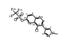 Cn1cc(-c2cnc3ccc(OS(=O)(=O)C(F)(F)F)nc3c2Cl)cn1